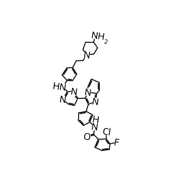 NC1CCN(CCc2ccc(Nc3nccc(-c4c(-c5cccc(NC(=O)c6cccc(F)c6Cl)c5)nc5ccccn45)n3)cc2)CC1